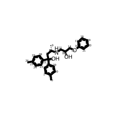 Cc1ccc(C(O)(C[C@H](C)NC[C@H](O)COc2ccccc2)c2ccc(C)cc2)cc1